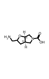 NCC1C[C@@H]2CN(C(=O)O)C[C@@H]2O1